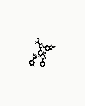 COC(=O)c1nc(C2C[C@@H](n3cc(-c4cccc(F)c4)nn3)[C@H]3OC(c4ccccc4)OC[C@H]3O2)n(-c2ccc3nc(C)sc3c2)n1